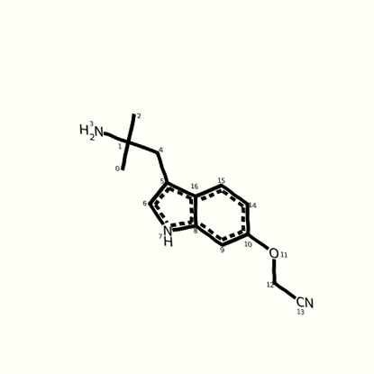 CC(C)(N)Cc1c[nH]c2cc(OCC#N)ccc12